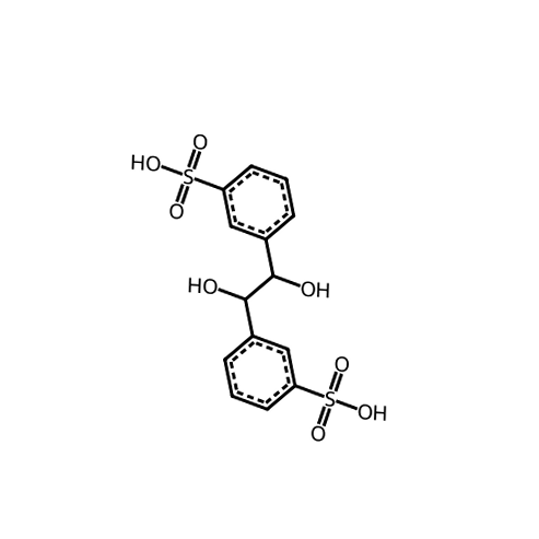 O=S(=O)(O)c1cccc(C(O)C(O)c2cccc(S(=O)(=O)O)c2)c1